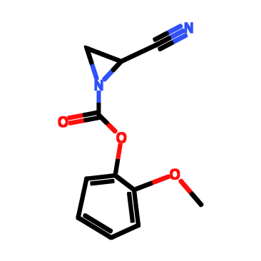 COc1ccccc1OC(=O)N1CC1C#N